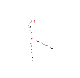 CCCCCCCCCCCCCC(=O)OCC(CSCC(N)C(=O)Nc1cn(CC2OC(O)C(O)C(O)C2O)nn1)OC(=O)CCCCCCCCCCCCC